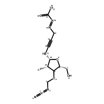 [N-]=[N+]=NCOC1[C@@H](CO)O[C@@H](BC#CCN=NC(=O)C(F)(F)F)[C@H]1F